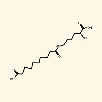 N[C@@H](CCCCNC(=O)CCCCCCCCC(=O)O)C(=O)O